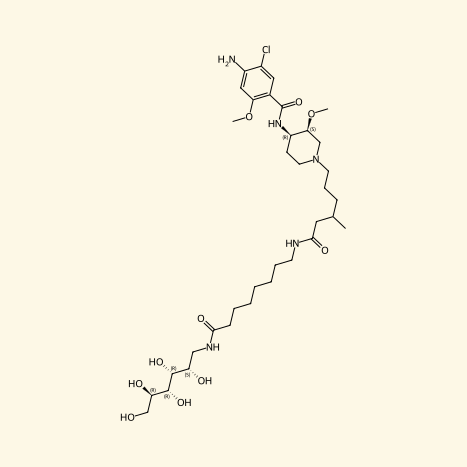 COc1cc(N)c(Cl)cc1C(=O)N[C@@H]1CCN(CCCC(C)CC(=O)NCCCCCCCC(=O)NC[C@H](O)[C@@H](O)[C@H](O)[C@H](O)CO)C[C@@H]1OC